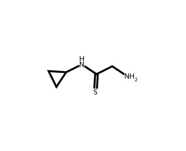 NCC(=S)NC1CC1